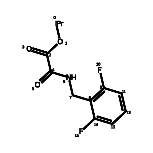 CC(C)OC(=O)C(=O)NCc1c(F)cccc1F